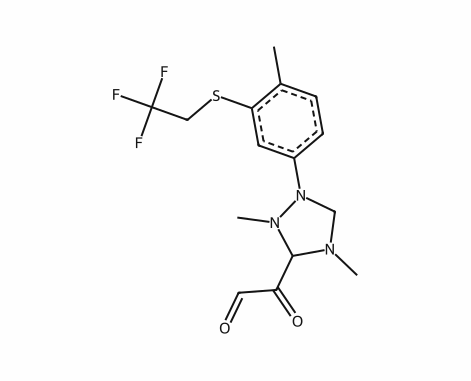 Cc1ccc(N2CN(C)C(C(=O)C=O)N2C)cc1SCC(F)(F)F